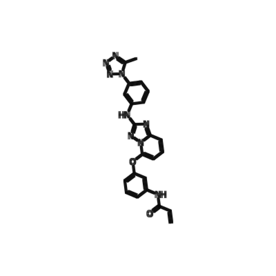 C=CC(=O)Nc1cccc(Oc2cccc3nc(Nc4cccc(-n5nnnc5C)c4)nn23)c1